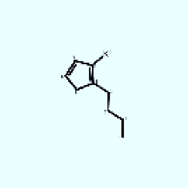 CCCCC1=[C]([K])C=CC1